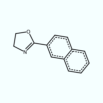 c1ccc2cc(C3=NCCO3)ccc2c1